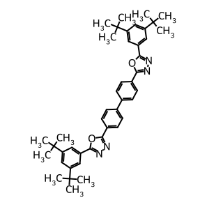 CC(C)(C)c1cc(-c2nnc(-c3ccc(-c4ccc(-c5nnc(-c6cc(C(C)(C)C)cc(C(C)(C)C)c6)o5)cc4)cc3)o2)cc(C(C)(C)C)c1